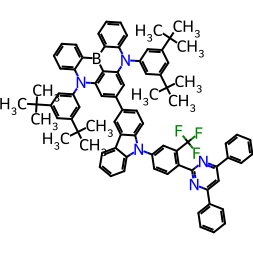 CC(C)(C)c1cc(N2c3ccccc3B3c4ccccc4N(c4cc(C(C)(C)C)cc(C(C)(C)C)c4)c4cc(-c5ccc6c(c5)c5ccccc5n6-c5ccc(-c6nc(-c7ccccc7)cc(-c7ccccc7)n6)c(C(F)(F)F)c5)cc2c43)cc(C(C)(C)C)c1